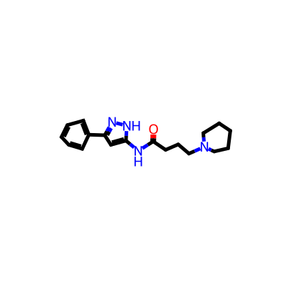 O=C(CCCN1CCCCC1)Nc1cc(-c2ccccc2)n[nH]1